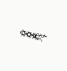 CCOCCOc1nn([C@H]2CC[C@H](N3CCOCC3)CC2)cc1N